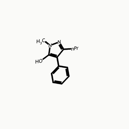 CCCc1nn(C)c(O)c1-c1ccccc1